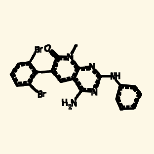 Cn1c(=O)c(-c2c(Br)cccc2Br)cc2c(N)nc(Nc3ccccc3)nc21